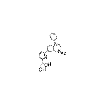 CC(=O)N1CCN(c2ccccc2)c2ccc(-c3cccc(C(O)CO)n3)cc2C1